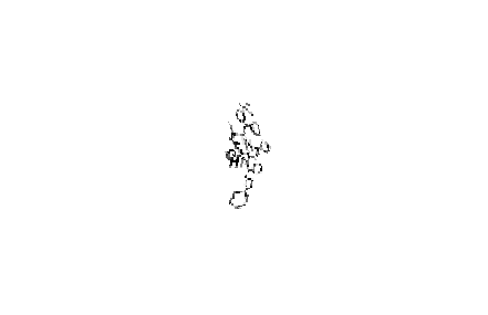 C=C(C)C(C(=O)OC(C)(C)C)N1C(=O)CC1(NC(=O)COc1ccccc1)[S+]([O-])Cl